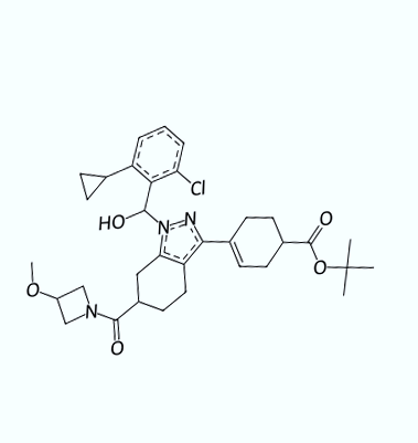 COC1CN(C(=O)C2CCc3c(C4=CCC(C(=O)OC(C)(C)C)CC4)nn(C(O)c4c(Cl)cccc4C4CC4)c3C2)C1